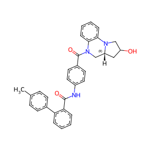 Cc1ccc(-c2ccccc2C(=O)Nc2ccc(C(=O)N3C[C@H]4CC(O)CN4c4ccccc43)cc2)cc1